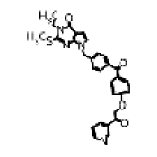 CCn1c(SC)nc2c(ccn2Cc2ccc(C(=O)c3ccc(OCC(=O)c4cccnc4)cc3)cc2)c1=O